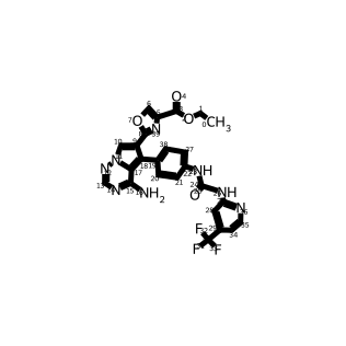 CCOC(=O)c1coc(-c2cn3ncnc(N)c3c2-c2ccc(NC(=O)Nc3cc(C(F)(F)F)ccn3)cc2)n1